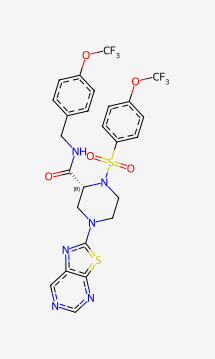 O=C(NCc1ccc(OC(F)(F)F)cc1)[C@H]1CN(c2nc3cncnc3s2)CCN1S(=O)(=O)c1ccc(OC(F)(F)F)cc1